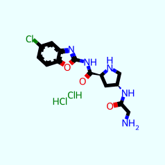 Cl.Cl.NCC(=O)N[C@H]1CN[C@H](C(=O)Nc2nc3cc(Cl)ccc3o2)C1